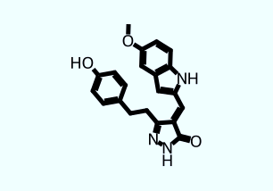 COc1ccc2[nH]c(C=C3C(=O)NN=C3CCc3ccc(O)cc3)cc2c1